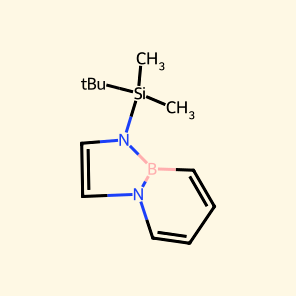 CC(C)(C)[Si](C)(C)N1C=CN2C=CC=CB21